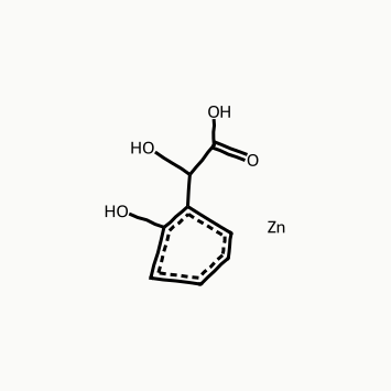 O=C(O)C(O)c1ccccc1O.[Zn]